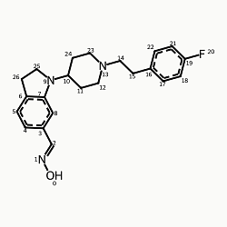 ON=Cc1ccc2c(c1)N(C1CCN(CCc3ccc(F)cc3)CC1)CC2